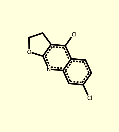 Clc1ccc2c(Cl)c3c(nc2c1)OCC3